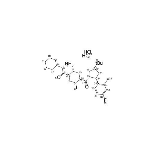 C[C@H]1CN(C(=O)[C@@H](N)C2CCCCC2)CCN1C(=O)[C@@H]1CN(C(C)(C)C)C[C@H]1c1ccc(F)cc1F.Cl.Cl